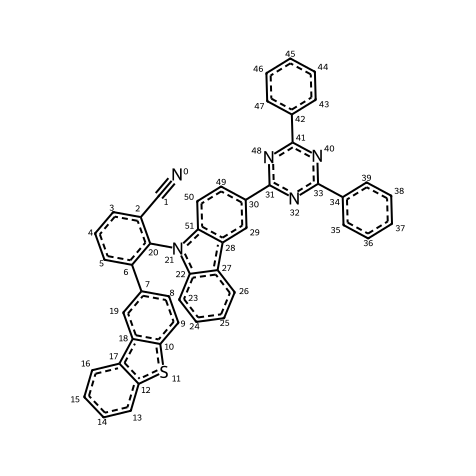 N#Cc1cccc(-c2ccc3sc4ccccc4c3c2)c1-n1c2ccccc2c2cc(-c3nc(-c4ccccc4)nc(-c4ccccc4)n3)ccc21